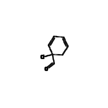 O=CC1(Cl)C=CC=CC1